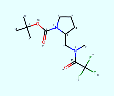 CN(CC1CCCN1C(=O)OC(C)(C)C)C(=O)C(F)(F)F